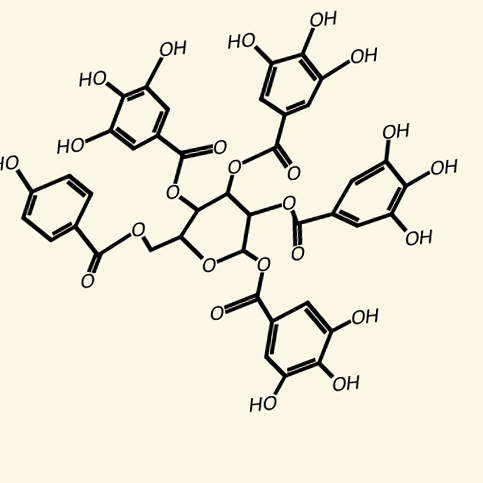 O=C(OCC1OC(OC(=O)c2cc(O)c(O)c(O)c2)C(OC(=O)c2cc(O)c(O)c(O)c2)C(OC(=O)c2cc(O)c(O)c(O)c2)C1OC(=O)c1cc(O)c(O)c(O)c1)c1ccc(O)cc1